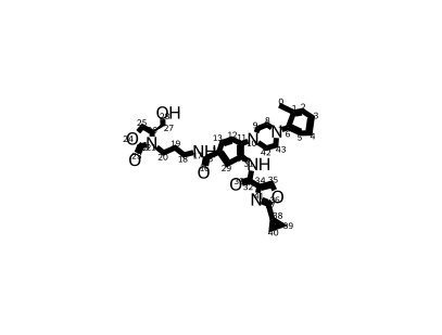 Cc1ccccc1N1CCN(c2ccc(C(=O)NCCCN3C(=O)OC[C@H]3CO)cc2NC(=O)c2coc(C3CC3)n2)CC1